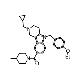 CCOc1ccc(Cn2c3c(c4cc(C(=O)N5CCC(C)CC5)ccc42)CN(CC2CC2)CC3)cc1